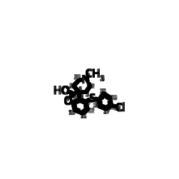 CN1CCC(C(=O)O)(c2ccccc2Sc2ccc(Cl)cc2)CC1